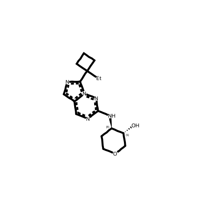 CCC1(c2ncc3cnc(N[C@@H]4CCOC[C@H]4O)nn23)CCC1